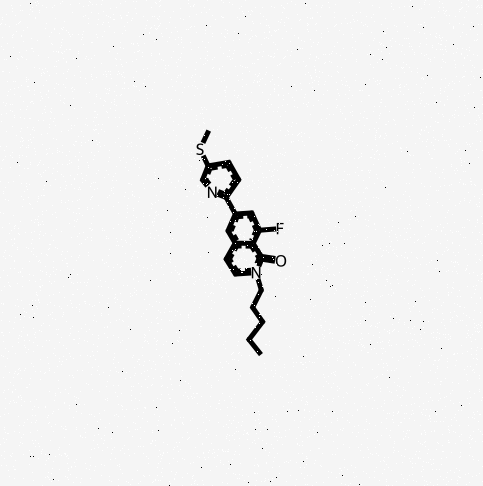 CCCCCn1ccc2cc(-c3ccc(SC)cn3)cc(F)c2c1=O